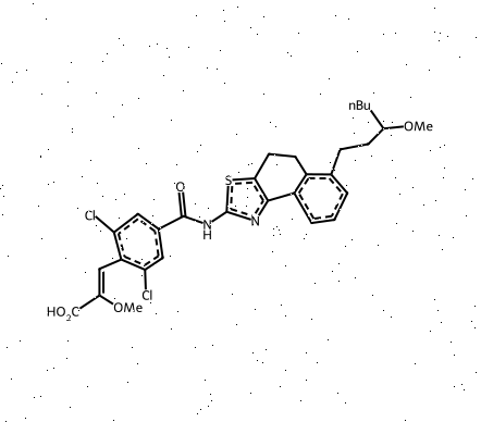 CCCCC(CCc1cccc2c1CCc1sc(NC(=O)c3cc(Cl)c(/C=C(\OC)C(=O)O)c(Cl)c3)nc1-2)OC